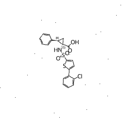 O=C(O)[C@]1(NS(=O)(=O)c2ccc(-c3ccccc3Cl)s2)C[C@@H]1c1ccccc1